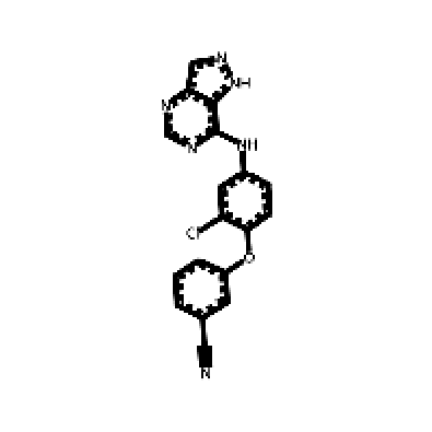 N#Cc1cccc(Oc2ccc(Nc3ncnc4cn[nH]c34)cc2Cl)c1